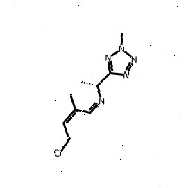 CC(/C=N\[C@H](C)c1nnn(C)n1)=C/CCl